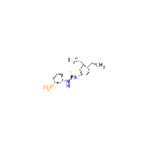 CCc1ccc(NC(=S)Nc2cccc(P)c2)cc1CC